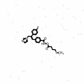 CSCCCC(=O)ONC(=O)c1ccc(/C=C(/Cn2ccnc2)c2ccc(F)cc2)cc1